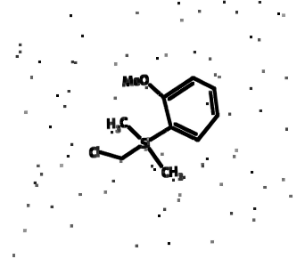 COc1ccccc1[Si](C)(C)CCl